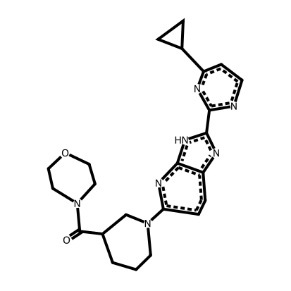 O=C(C1CCCN(c2ccc3nc(-c4nccc(C5CC5)n4)[nH]c3n2)C1)N1CCOCC1